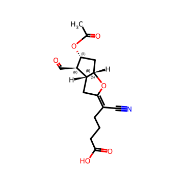 CC(=O)O[C@@H]1C[C@@H]2OC(=C(C#N)CCCC(=O)O)C[C@@H]2[C@H]1C=O